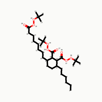 CCCCCCC1CCC(CCCCCCCC(=O)OOC(C)(C)C)C(C(=O)OOC(C)(C)C)C1C(=O)OOC(C)(C)C